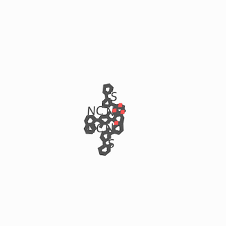 N#Cc1c(-c2cccc3ccccc23)c(C#N)c(-n2c3ccccc3c3c4sc5ccccc5c4ccc32)c(-c2cccc3ccccc23)c1-n1c2ccccc2c2c3sc4ccccc4c3ccc21